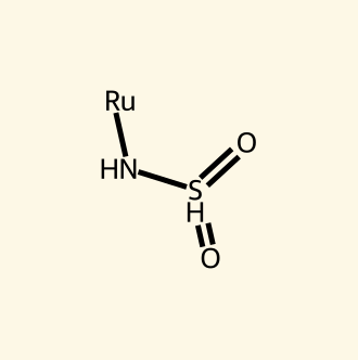 O=[SH](=O)[NH][Ru]